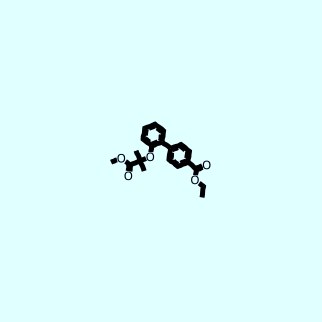 CCOC(=O)c1ccc(-c2ccccc2OC(C)(C)C(=O)OC)cc1